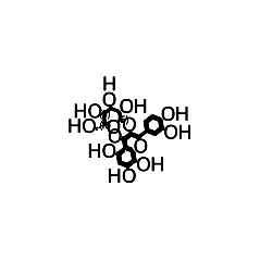 O=c1c(O[C@@H]2O[C@H](CO)[C@@H](O)C(O)C2O)c(-c2ccc(O)c(O)c2)oc2c(O)c(O)cc(O)c12